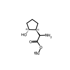 CC(C)(C)OC(=O)C(N)[C@@H]1CCC[C@H]1O